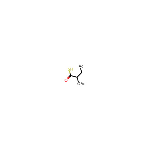 CC(=O)CC(OC(C)=O)C(=O)S